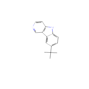 CC(C)(C)c1ccc2[nH]c3ccncc3c2c1